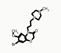 COc1cc2c(cc1Br)OCC(=O)N2CCCN1CCN(C)CC1